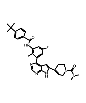 Cc1c(NC(=O)c2ccc(C(C)(C)C)cc2)cc(F)cc1-c1ncnc2[nH]c(C3=CCN(C(=O)N(C)C)CC3)cc12